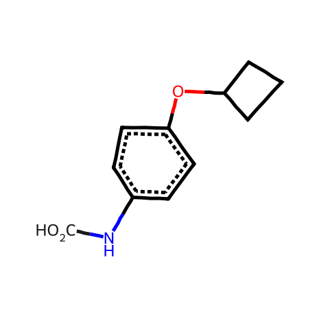 O=C(O)Nc1ccc(OC2CCC2)cc1